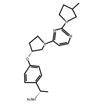 CC(=O)N[C@@H](C)c1ccc(O[C@@H]2CCN(c3ccnc(N4CCC(C)C4)n3)C2)cc1